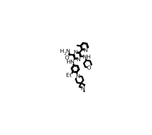 CCc1cc(Nc2nc(NC3CCOCC3)c(-c3ncccc3C)nc2C(N)=O)ccc1N1CCC2(CC1)CN(C)C2